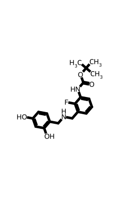 CC(C)(C)OC(=O)Nc1cccc(CNCc2ccc(O)cc2O)c1F